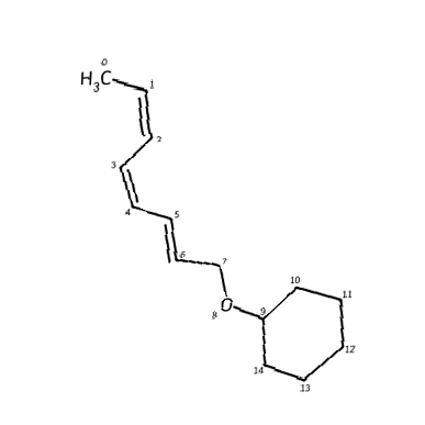 C\C=C/C=C\C=C\COC1CCCCC1